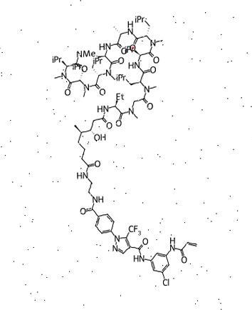 C=CC(=O)Nc1cc(Cl)cc(NC(=O)c2cnn(-c3ccc(C(=O)NCCNC(=O)CCC[C@@H](C)[C@@H](O)CC(=O)N[C@@H](CC)C(=O)N(C)CC(=O)N(C)[C@@H](CC(C)C)C(=O)N[C@H](C(=O)N(C)[C@@H](CC(C)C)C(=O)N[C@@H](C)C(=O)N[C@H](C)C(=O)N(C)[C@@H](CC(C)C)C(=O)N(C)[C@@H](CC(C)C)C(=O)N(C)[C@H](C(=O)NC)C(C)C)C(C)C)cc3)c2C(F)(F)F)c1